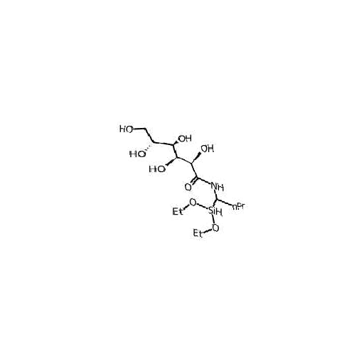 CCCC(NC(=O)[C@H](O)[C@@H](O)[C@H](O)[C@H](O)CO)[SiH](OCC)OCC